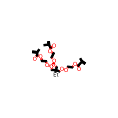 C=C(C)C(=O)OCCOOCC(CC)(COOCCOC(=O)C(=C)C)COOCCOC(=O)C(=C)C